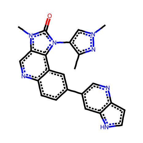 Cc1nn(C)cc1-n1c(=O)n(C)c2cnc3ccc(-c4cnc5cc[nH]c5c4)cc3c21